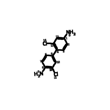 Nc1ccc(-c2ccc(N)c(Cl)c2)c(Cl)c1